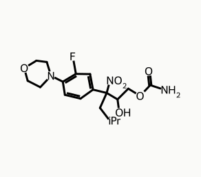 CC(C)CC(c1ccc(N2CCOCC2)c(F)c1)(C(O)COC(N)=O)[N+](=O)[O-]